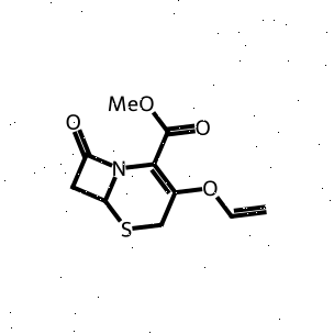 C=COC1=C(C(=O)OC)N2C(=O)CC2SC1